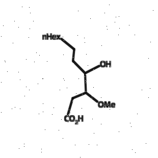 CCCCCCCCC(O)C(CC(=O)O)OC